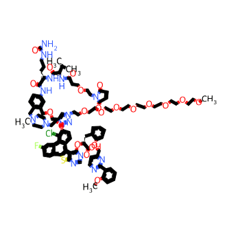 COCCOCCOCCOCCOCCOCCOCCOCCn1cc(COCc2cc(NC(=O)[C@H](CCCNC(N)=O)NC(=O)[C@@H](NC(=O)CCOCCN3C(=O)C=CC3=O)C(C)C)ccc2C[N+]2(C)CCN(CCOc3ccc4c(c3Cl)c3cc(F)ccc3c3sc5ncnc(O[C@H](Cc6ccccc6OCc6ccnc(-c7ccccc7OC)n6)C(=O)O)c5c43)CC2)nn1